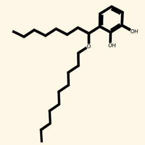 CCCCCCCCCCOC(CCCCCCC)c1cccc(O)c1O